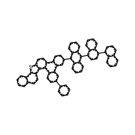 c1ccc(-c2ccc3c(c2)c2cc(-c4c5ccccc5c(-c5ccc(-c6cccc7ccccc67)c6ccccc56)c5ccccc45)ccc2c2ccc4sc5c6ccccc6ccc5c4c23)cc1